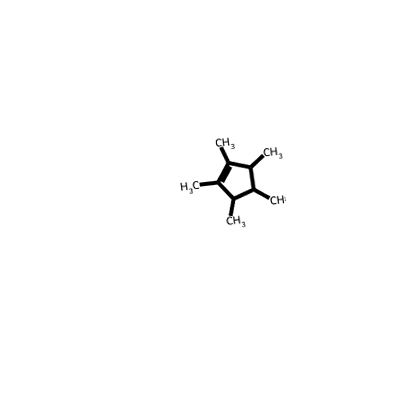 [CH]C1C(C)C(C)=C(C)C1C